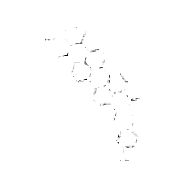 CCCCCCC(CCCCCC)N1C(=O)c2ccc3c4ccc5c6c(ccc(c7ccc(c2c37)C1=O)c64)C(=O)N(Cc1ccc(C=O)cc1)C5=O